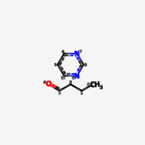 CCCC=O.c1cncnc1